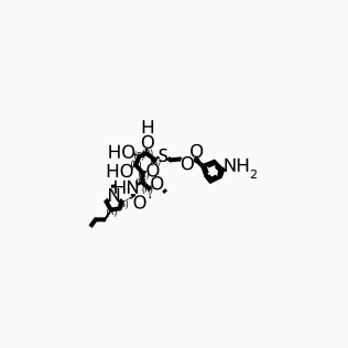 CCC[C@@H]1C[C@@H](C(=O)N[C@@H]([C@H]2O[C@H](SCCOC(=O)c3cccc(N)c3)[C@H](O)[C@@H](O)[C@H]2O)[C@@H](C)OC)N(C)C1